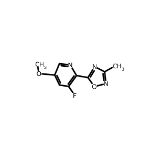 COc1cnc(-c2nc(C)no2)c(F)c1